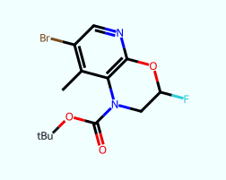 Cc1c(Br)cnc2c1N(C(=O)OC(C)(C)C)CC(F)O2